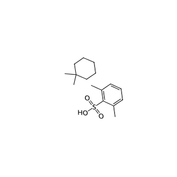 CC1(C)CCCCC1.Cc1cccc(C)c1S(=O)(=O)O